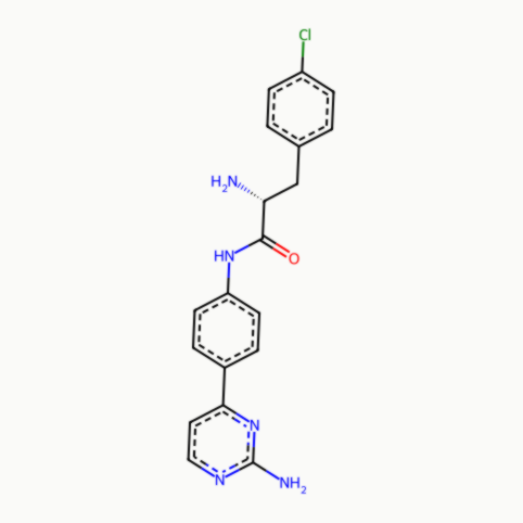 Nc1nccc(-c2ccc(NC(=O)[C@H](N)Cc3ccc(Cl)cc3)cc2)n1